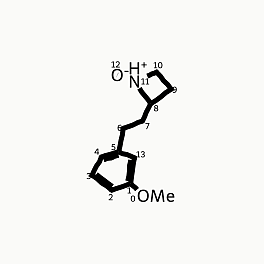 COc1cccc(CCC2CC[NH+]2[O-])c1